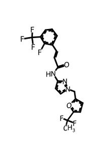 CC(F)(F)c1ccc(Cn2ccc(NC(=O)/C=C/c3cccc(C(F)(F)F)c3F)n2)o1